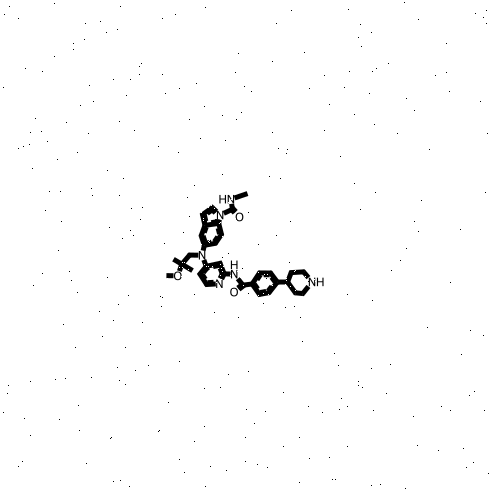 CNC(=O)n1ccc2cc(N(CC(C)(C)OC)c3ccnc(NC(=O)c4ccc(C5CCNCC5)cc4)c3)ccc21